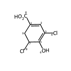 O=C(O)C1=CC(Cl)=C(O)C(Cl)C1